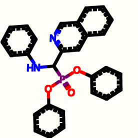 O=P(Oc1ccccc1)(Oc1ccccc1)C(Nc1ccccc1)c1cc2ccccc2cn1